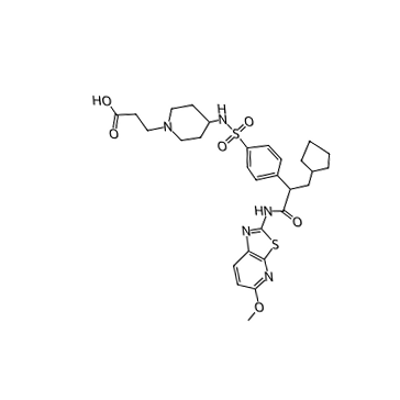 COc1ccc2nc(NC(=O)C(CC3CCCC3)c3ccc(S(=O)(=O)NC4CCN(CCC(=O)O)CC4)cc3)sc2n1